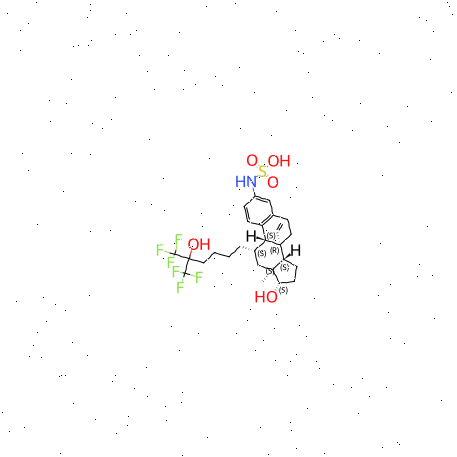 C=C[C@@]12CCc3cc(NS(=O)(=O)O)ccc3[C@H]1[C@@H](CCCCC(O)(C(F)(F)F)C(F)(F)F)C[C@@]1(C)[C@H]2CC[C@@H]1O